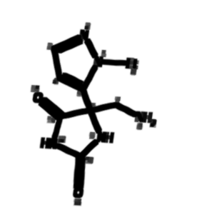 CCn1nccc1C1(CN)NC(=O)NC1=O